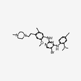 COc1cc(CCN2CCN(C)CC2)c(C)cc1Nc1ncc(Br)c(Nc2ccc(C)cc2P(C)C)n1